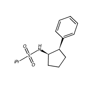 CC(C)S(=O)(=O)N[C@@H]1CCC[C@@H]1c1ccccc1